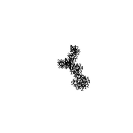 CC1(C)c2cccc(-c3cccc(-c4ccc(-c5cc(-c6ccc(-c7cccnc7)cc6)nc(-c6ccccc6)n5)c5ccccc45)c3)c2-c2c1ccc1ccccc21